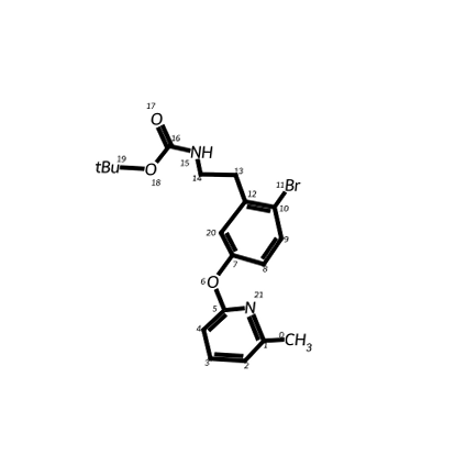 Cc1cccc(Oc2ccc(Br)c(CCNC(=O)OC(C)(C)C)c2)n1